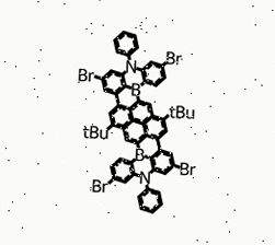 CC(C)(C)c1cc2c3c(cc4c(C(C)(C)C)cc5c6c(cc1c3c46)B1c3ccc(Br)cc3N(c3ccccc3)c3cc(Br)cc-5c31)B1c3ccc(Br)cc3N(c3ccccc3)c3cc(Br)cc-2c31